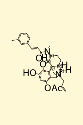 C=CCN1CC[C@]23c4c5c(OC(C)=O)cc(O)c4O[C@H]2[C@H](N(C)C(=O)C=Cc2cccc(C)c2)CC[C@H]3[C@H]1C5